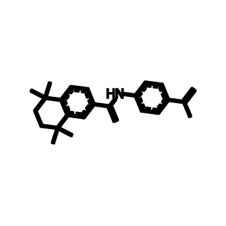 C=C(C)c1ccc(NC(=C)c2ccc3c(c2)C(C)(C)CCC3(C)C)cc1